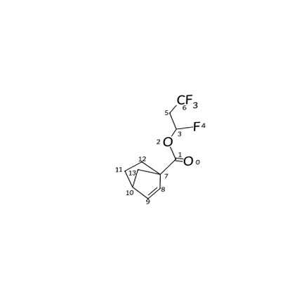 O=C(OC(F)CC(F)(F)F)C12C=CC(CC1)C2